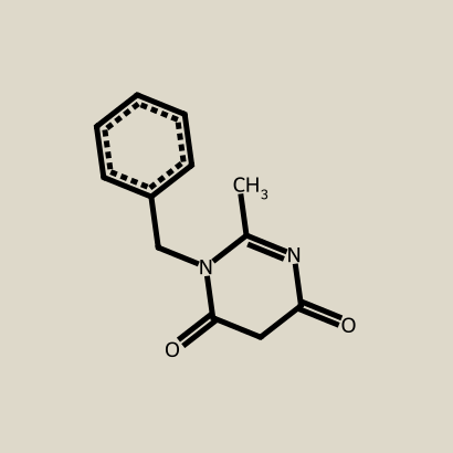 CC1=NC(=O)CC(=O)N1Cc1ccccc1